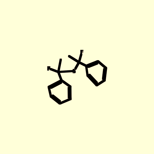 CC(F)(SC(C)(F)c1ccccc1)c1ccccc1